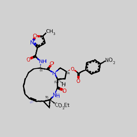 CCOC(=O)[C@@]12CC1/C=C\CCCCC[C@H](NC(=O)c1cc(C)on1)C(=O)N1C[C@H](OC(=O)c3ccc([N+](=O)[O-])cc3)C[C@H]1C(=O)N2